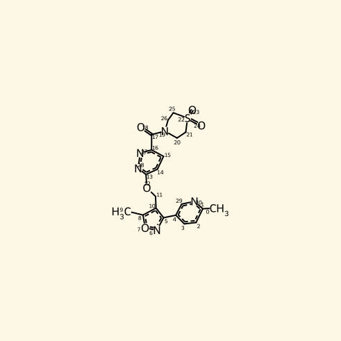 Cc1ccc(-c2noc(C)c2COc2ccc(C(=O)N3CCS(=O)(=O)CC3)nn2)cn1